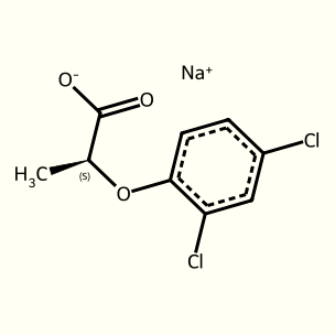 C[C@H](Oc1ccc(Cl)cc1Cl)C(=O)[O-].[Na+]